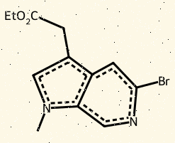 CCOC(=O)Cc1cn(C)c2cnc(Br)cc12